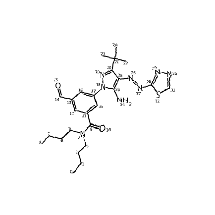 CCCCN(CCCC)C(=O)c1cc(C=O)cc(-n2nc(C(C)(C)C)c(N=Nc3nncs3)c2N)c1